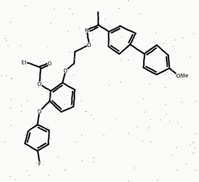 CCC(=O)Oc1c(OCCON=C(C)c2ccc(-c3ccc(OC)cc3)cc2)cccc1Oc1ccc(F)cc1